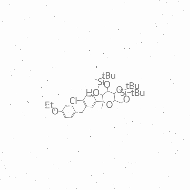 CCOc1ccc(Cc2cc(C3(C)OC4CO[Si](C(C)(C)C)(C(C)(C)C)OC4C(O[Si](C)(C)C(C)(C)C)C3O)ccc2Cl)cc1